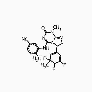 Cc1ccc(C#N)cc1NC1=NC(=O)N(C)C2=NCC(C3=CC(C)(F)C(F)C(F)=C3)N12